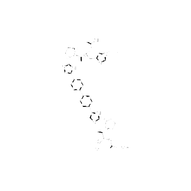 COC(=O)N[C@H](C(=O)N1CCC[C@H]1c1ncc(-c2ccc(-c3ccc(-c4cnc([C@@H]5CCCN5C(=O)[C@](C)(Cc5cn(C)cn5)OC(N)=O)[nH]4)cc3)cc2)[nH]1)[C@@H](C)OC